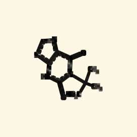 CC(C)(C(=O)O)n1c(=O)[nH]c2scnc2c1=O